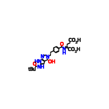 CC(C)(C)C(=O)Nc1cc2c([nH]1)N=CN(CCc1ccc(C(=O)N[C@@H](CCC(=O)O)C(=O)O)cc1)C2O